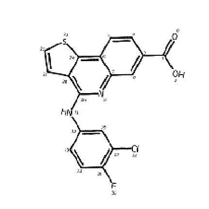 O=C(O)c1ccc2c(c1)nc(Nc1ccc(F)c(Cl)c1)c1ccsc12